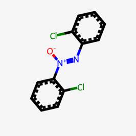 [O-][N+](=Nc1ccccc1Cl)c1ccccc1Cl